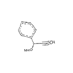 C#C[C](OC)c1ccccc1